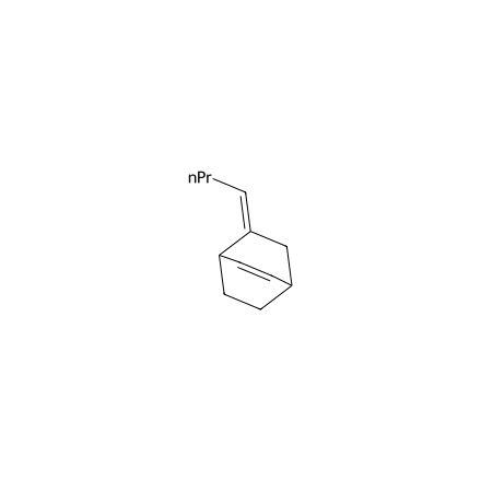 CCCC=C1CC2C=CC1CC2